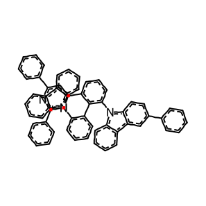 c1ccc(-c2ccc3c(c2)c2ccccc2n3-c2cccc(-c3cc(-c4ccccc4)nc(-c4ccccc4)n3)c2-c2ccccc2-n2c3ccccc3c3ccccc32)cc1